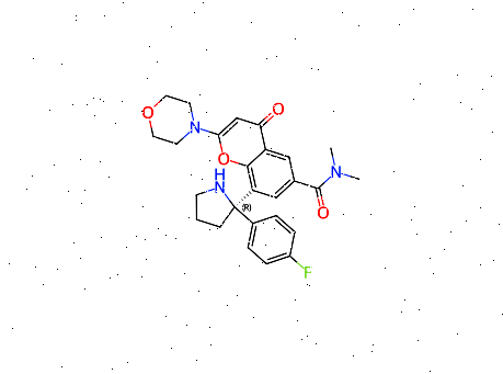 CN(C)C(=O)c1cc([C@]2(c3ccc(F)cc3)CCCN2)c2oc(N3CCOCC3)cc(=O)c2c1